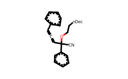 CCCCCCCCCCCCOC(C#N)(C=C=Cc1ccccc1)c1ccccc1